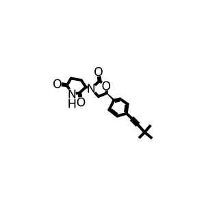 CC(C)(C)C#Cc1ccc([C@H]2CN(C3CCC(=O)NC3=O)C(=O)O2)cc1